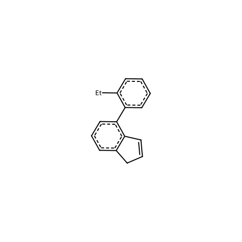 CCc1ccccc1-c1cccc2c1C=CC2